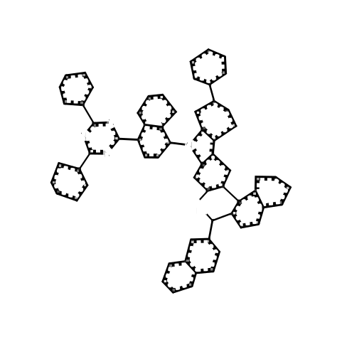 CCC(c1ccc2ccccc2c1)c1ccc2ccccc2c1-c1cc2c3ccc(-c4ccccc4)cc3n(-c3ccc(-c4nc(-c5ccccc5)nc(-c5ccccc5)n4)c4ccccc34)c2cc1C